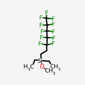 CC[Si](CC)(CCC(F)(F)C(F)(F)C(F)(F)C(F)(F)C(F)(F)F)OC